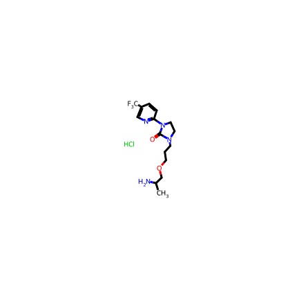 CC(N)COCCCN1CCN(c2ccc(C(F)(F)F)cn2)C1=O.Cl